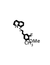 COc1c(C)cc(CCSc2cccc3cccnc23)cc1F